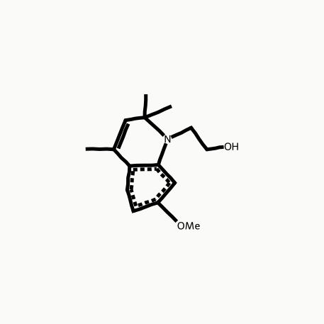 COc1ccc2c(c1)N(CCO)C(C)(C)C=C2C